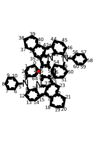 c1ccc(N(c2ccccc2)c2cccc3c4c5ccccc5cc5c6nc7c(nc6n(c23)c54)c2cc3ccccc3c3c4cccc(N(c5ccccc5)c5ccccc5)c4n7c23)cc1